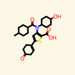 CC1CCC(C(=O)N(c2cc(C3=CCC(=O)CC3)sc2C(=O)O)C2CCC(O)CC2)CC1